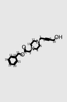 O=C(CN1CCN(CC#CCO)CC1)OCc1ccccc1